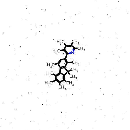 Cc1cc(-c2nc(C)c(C)c(C)c2C)c(C)c2c1-c1c(C)c(C)c(C)c(C)c1C2(C)C